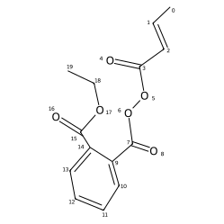 CC=CC(=O)OOC(=O)c1ccccc1C(=O)OCC